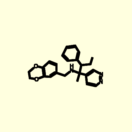 CCC(c1ccccc1)C(C)(NCc1ccc2c(c1)OCCO2)c1ccnnc1